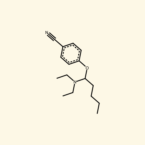 CCCCC(Oc1ccc(C#N)cc1)N(CC)CC